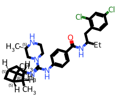 CCC(Cc1ccc(Cl)cc1Cl)NC(=O)c1ccc(NC(=N[C@H]2C[C@@H]3C[C@@H]([C@H]2C)C3(C)C)N2CCN[C@@H](C)C2)cc1